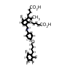 Cc1c(CCCC(=O)O)c2c(F)ccc(/C=C/c3ccc(OCCCCc4c(F)cc(F)c(F)c4F)cc3)c2n1CCCC(=O)O